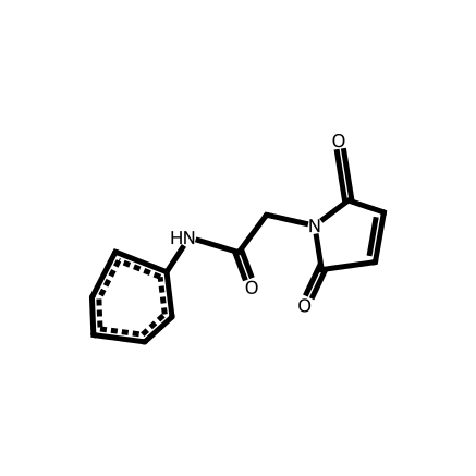 O=C(CN1C(=O)C=CC1=O)Nc1ccccc1